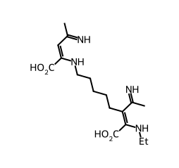 CCN/C(C(=O)O)=C(/CCCCCN/C(=C\C(C)=N)C(=O)O)C(C)=N